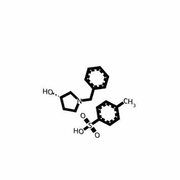 Cc1ccc(S(=O)(=O)O)cc1.O[C@H]1CCN(Cc2ccccc2)C1